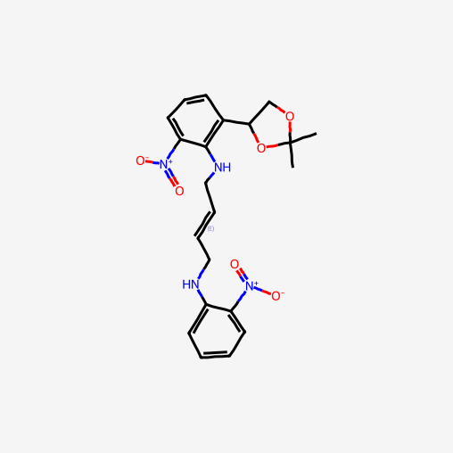 CC1(C)OCC(c2cccc([N+](=O)[O-])c2NC/C=C/CNc2ccccc2[N+](=O)[O-])O1